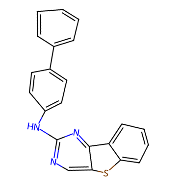 c1ccc(-c2ccc(Nc3ncc4sc5ccccc5c4n3)cc2)cc1